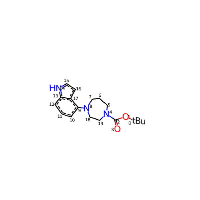 CC(C)(C)OC(=O)N1CCCN(c2cccc3[nH]ccc23)CC1